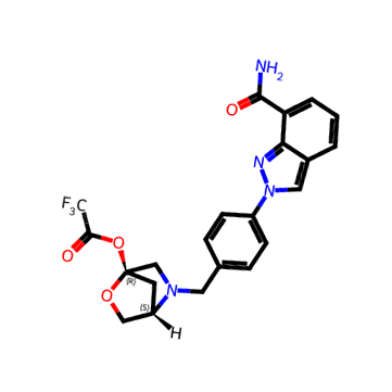 NC(=O)c1cccc2cn(-c3ccc(CN4C[C@]5(OC(=O)C(F)(F)F)C[C@H]4CO5)cc3)nc12